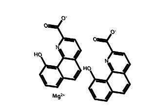 O=C([O-])c1ccc2ccc3cccc(O)c3c2n1.O=C([O-])c1ccc2ccc3cccc(O)c3c2n1.[Mg+2]